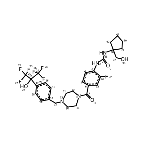 O=C(Nc1ccc(C(=O)N2CCN(Cc3ccc(C(O)(C(F)(F)F)C(F)(F)F)cc3)CC2)cc1F)NC1(CO)CCCC1